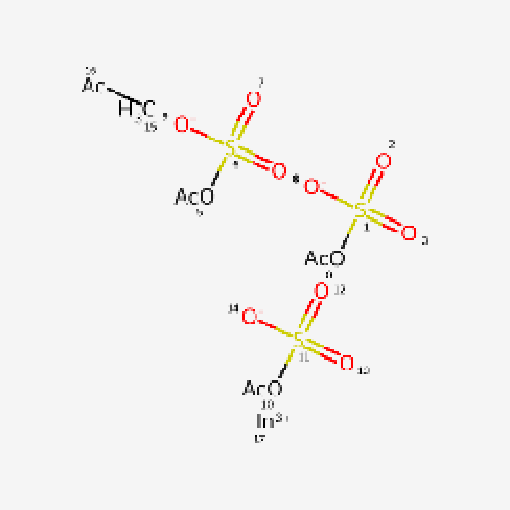 CC(=O)OS(=O)(=O)[O-].CC(=O)OS(=O)(=O)[O-].CC(=O)OS(=O)(=O)[O-].CC(C)=O.[In+3]